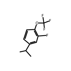 C[C](C)c1ccc(OC(F)(F)F)c(F)c1